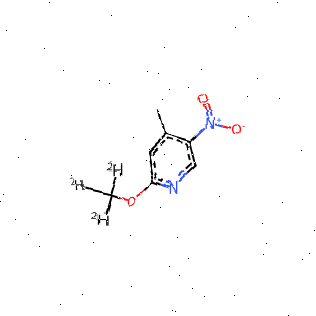 [2H]C([2H])([2H])Oc1cc(C)c([N+](=O)[O-])cn1